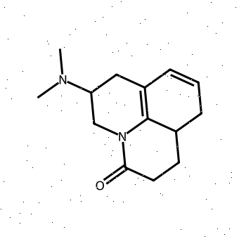 CN(C)C1CC2=C3C(CC=C2)CCC(=O)N3C1